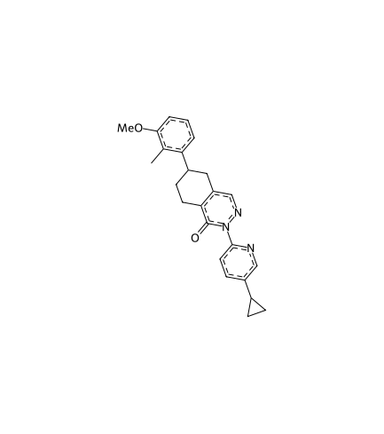 COc1cccc(C2CCc3c(cnn(-c4ccc(C5CC5)cn4)c3=O)C2)c1C